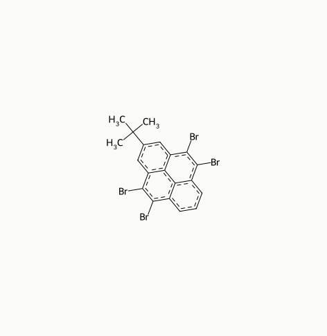 CC(C)(C)c1cc2c(Br)c(Br)c3cccc4c(Br)c(Br)c(c1)c2c34